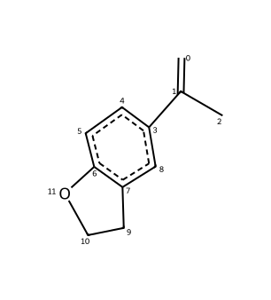 C=C(C)c1ccc2c(c1)CCO2